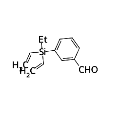 C=C[Si](C=C)(CC)c1cccc(C=O)c1